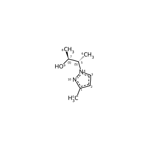 Cc1ccn([C@@H](C)[C@H](C)O)n1